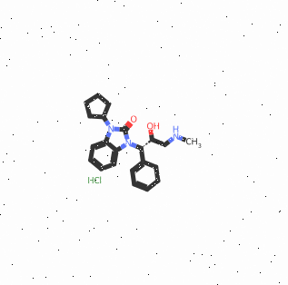 CNCC(O)[C@H](C1=CC=CCC1)n1c(=O)n(C2CCCC2)c2ccccc21.Cl